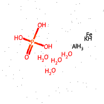 O.O.O.O.O=P(O)(O)O.[AlH3].[Fe].[KH]